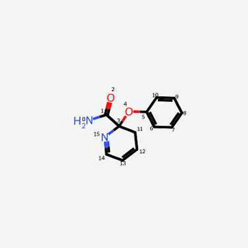 NC(=O)C1(Oc2ccccc2)CC=CC=N1